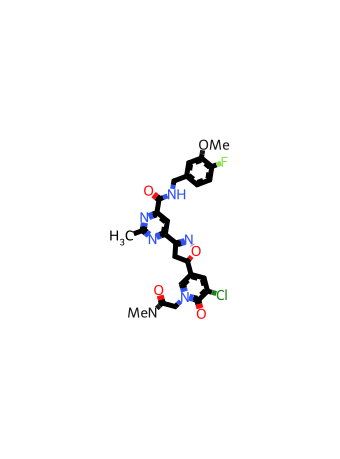 CNC(=O)Cn1cc(C2CC(c3cc(C(=O)NCc4ccc(F)c(OC)c4)nc(C)n3)=NO2)cc(Cl)c1=O